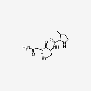 CC(C)C[C@H](NC(=O)C1NCCC1C)C(=O)NCC(N)=O